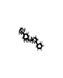 c1ccc(-c2ccnc(Nc3ccc(-n4nccn4)cc3)n2)cc1